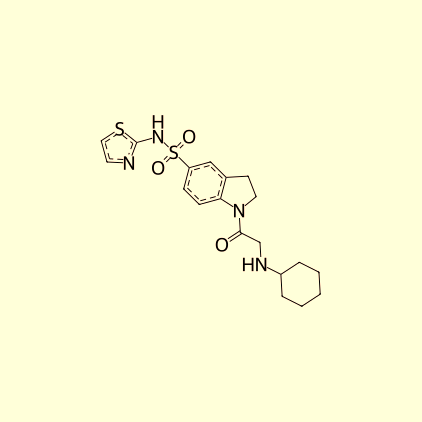 O=C(CNC1CCCCC1)N1CCc2cc(S(=O)(=O)Nc3nccs3)ccc21